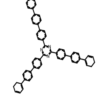 C1=CCCC(c2ccc(-c3ccc(-c4nc(-c5ccc(-c6ccc(C7=CCCC=C7)cc6)cc5)nc(-c5ccc(-c6ccc(-c7ccccc7)cc6)cc5)n4)cc3)cc2)=C1